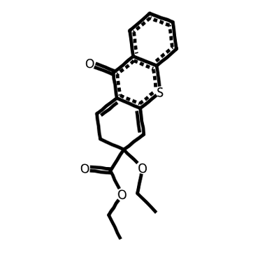 CCOC(=O)C1(OCC)C=c2sc3ccccc3c(=O)c2=CC1